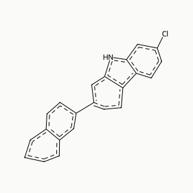 Clc1ccc2c(c1)[nH]c1cc(-c3ccc4ccccc4c3)ccc12